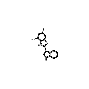 CC(=O)c1cc(C)cc2nc(-c3c[nH]c4ccccc34)[nH]c12